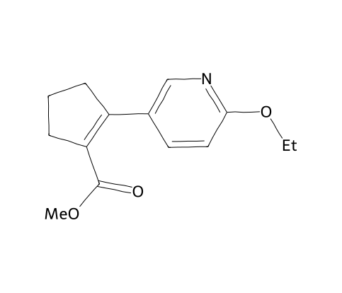 CCOc1ccc(C2=C(C(=O)OC)CCC2)cn1